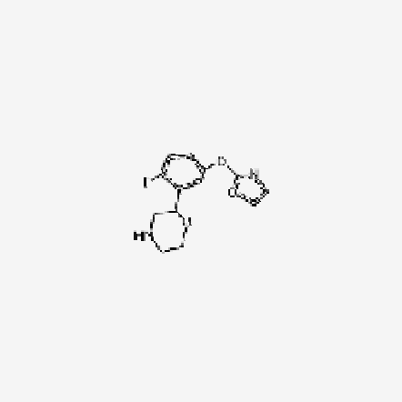 Fc1ccc(Oc2ncco2)cc1[C@@H]1CNCCO1